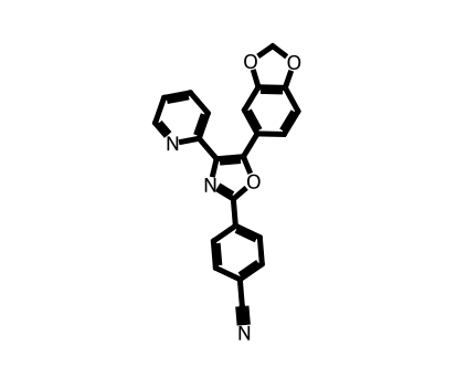 N#Cc1ccc(-c2nc(-c3ccccn3)c(-c3ccc4c(c3)OCO4)o2)cc1